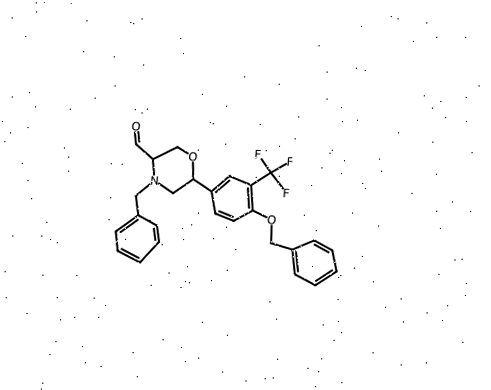 O=CC1COC(c2ccc(OCc3ccccc3)c(C(F)(F)F)c2)CN1Cc1ccccc1